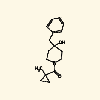 CC1(C(=O)N2CCC(O)(Cc3cc[c]cc3)CC2)CC1